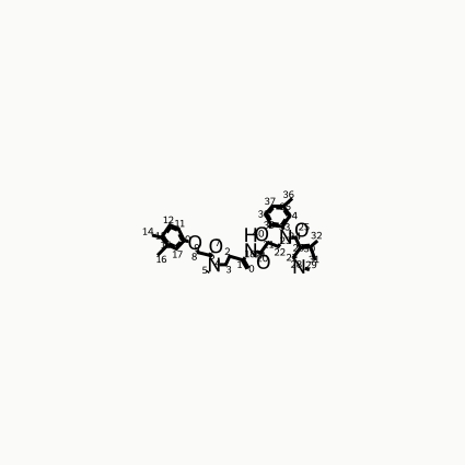 C=C(CCN(C)C(=O)COc1ccc(C)c(C)c1)NC(=O)C1CN(C(=O)C(/C=N\C)=C(C)C)c2cc(C)ccc2O1